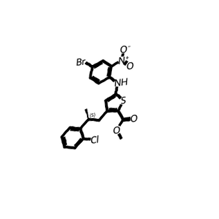 COC(=O)c1sc(Nc2ccc(Br)cc2[N+](=O)[O-])cc1C[C@H](C)c1ccccc1Cl